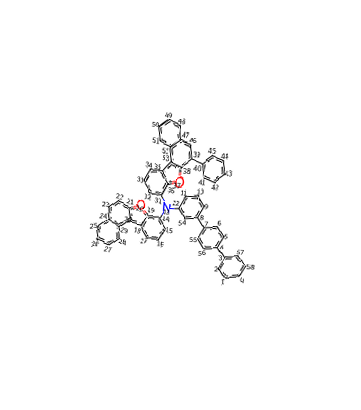 c1ccc(-c2ccc(-c3cccc(N(c4cccc5c4oc4ccc6ccccc6c45)c4cccc5c4oc4c(-c6ccccc6)cc6ccccc6c45)c3)cc2)cc1